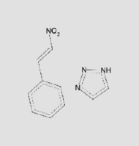 O=[N+]([O-])C=Cc1ccccc1.c1c[nH]nn1